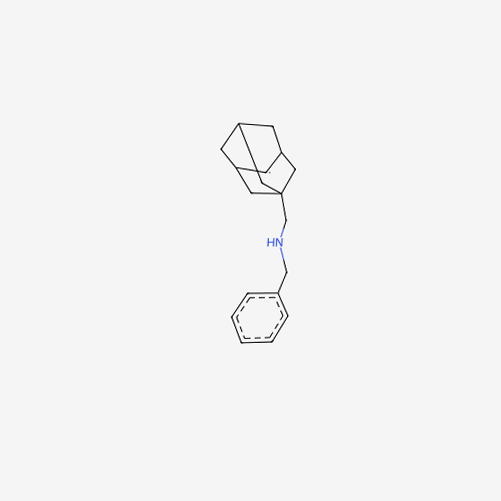 [CH]1C2CC3CC1CC(CNCc1ccccc1)(C2)C3